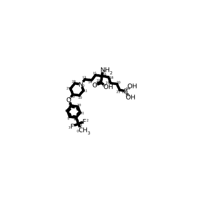 CC(F)(F)c1ccc(OC2CCN(CCCC(N)(CCCCB(O)O)C(=O)O)CC2)cc1